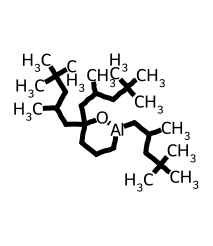 CC([CH2][Al]1[CH2]CCC(CC(C)CC(C)(C)C)(CC(C)CC(C)(C)C)[O]1)CC(C)(C)C